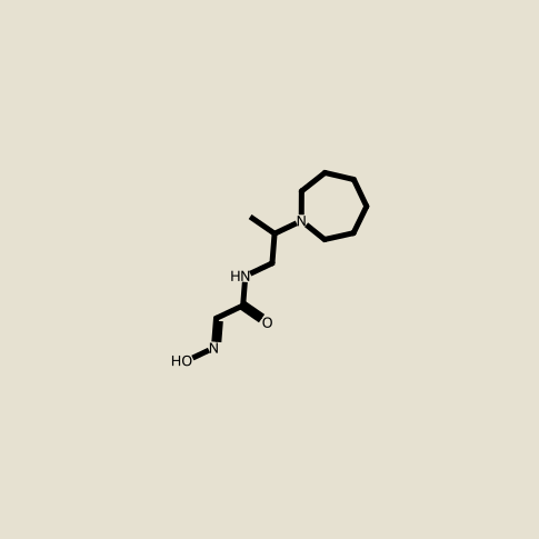 CC(CNC(=O)C=NO)N1CCCCCC1